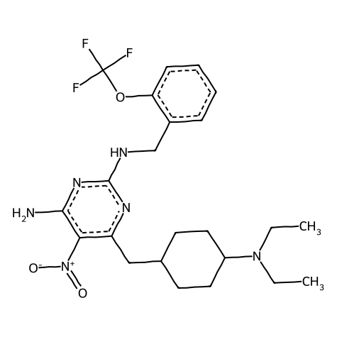 CCN(CC)C1CCC(Cc2nc(NCc3ccccc3OC(F)(F)F)nc(N)c2[N+](=O)[O-])CC1